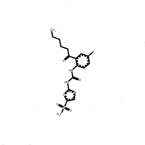 CCCCCC(=O)c1cc(F)ccc1NC(=O)Nc1ncc(S(C)(=O)=O)s1